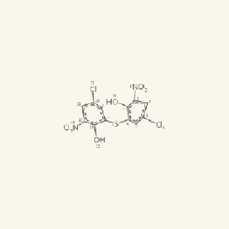 O=[N+]([O-])c1cc(Cl)cc(Sc2cc(Cl)cc([N+](=O)[O-])c2O)c1O